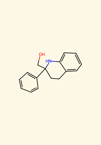 OCC1(c2ccccc2)CCc2ccccc2N1